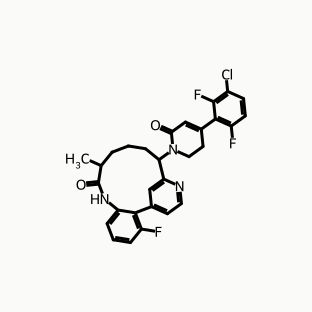 CC1CCCC(N2CCC(c3c(F)ccc(Cl)c3F)=CC2=O)c2cc(ccn2)-c2c(F)cccc2NC1=O